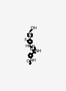 C=CC(=O)Nc1cccc(-c2c[nH]c3cnc(Nc4ccc(N5CCN(CCO)CC5)c(F)c4)nc23)c1